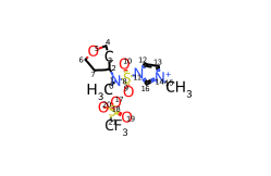 CN(C1CCOCC1)S(=O)(=O)n1cc[n+](C)c1.O=S(=O)([O-])C(F)(F)F